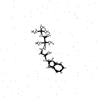 CC(C)(C)OC(=O)C(C)(C)O/N=C\C(=O)Sc1nc2ccccc2s1